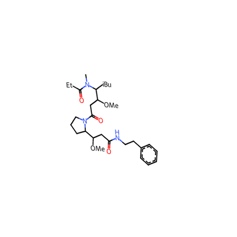 CCC(=O)N(C)C(C(C)CC)C(CC(=O)N1CCCC1C(CC(=O)NCCc1ccccc1)OC)OC